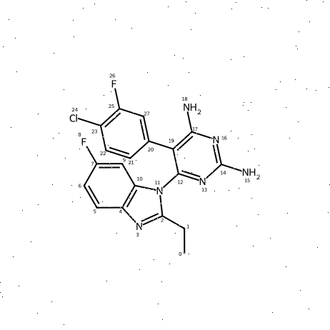 CCc1nc2ccc(F)cc2n1-c1nc(N)nc(N)c1-c1ccc(Cl)c(F)c1